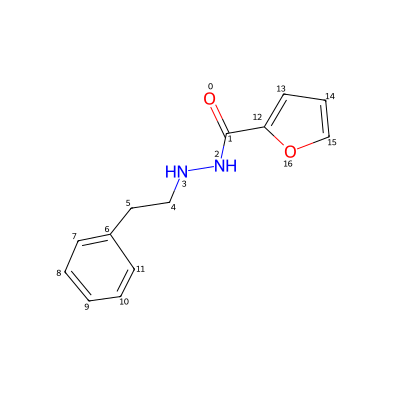 O=C(NNCCc1ccccc1)c1ccco1